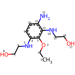 CCOc1c(NCCO)ccc(N)c1NCCO